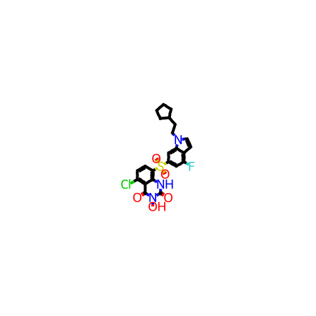 O=c1[nH]c2c(S(=O)(=O)c3cc(F)c4ccn(CCC5CCCC5)c4c3)ccc(Cl)c2c(=O)n1O